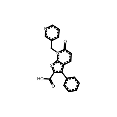 O=C(O)c1sc2c(ccc(=O)n2Cc2cccnc2)c1-c1ccccc1